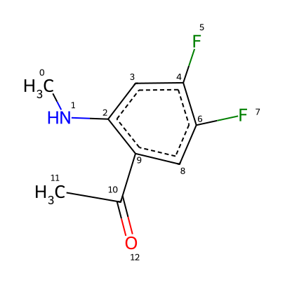 CNc1cc(F)c(F)cc1C(C)=O